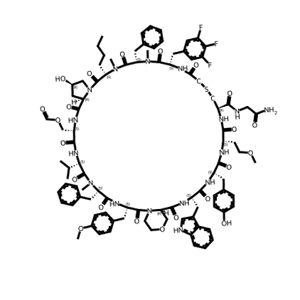 CCCC[C@H]1C(=O)N2C[C@H](O)C[C@@H]2C(=O)N[C@@H](COC=O)C(=O)N[C@@H](C(C)C)C(=O)N(C)[C@@H](Cc2ccccc2)C(=O)N[C@@H](Cc2ccc(OC)cc2)C(=O)N2CCOC[C@@H]2C(=O)N[C@@H](Cc2c[nH]c3ccccc23)C(=O)N[C@@H](Cc2ccc(O)cc2)C(=O)N[C@@H](CCOC)C(=O)N[C@H](C(=O)NCC(N)=O)CSCC(=O)N[C@@H](Cc2cc(F)c(F)c(F)c2)C(=O)N(C)[C@@H](Cc2ccccc2)C(=O)N1C